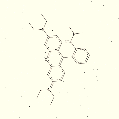 CCN(CC)c1ccc2c(-c3ccccc3C(=O)N(C)C)c3ccc(=[N+](CC)CC)cc-3oc2c1